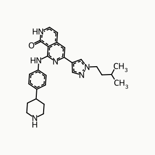 CC(C)CCn1cc(-c2cc3cc[nH]c(=O)c3c(Nc3ccc(C4CCNCC4)cc3)n2)cn1